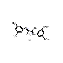 CCCCCc1cc(CCCCC)cc(/N=C(CCCC)/C(C)=N/c2cc(C)cc(C)c2)c1.[Ni]